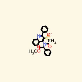 COC(=O)C(c1ccccc1)N(C=O)c1c([S+](C)[O-])c(-c2ccccc2)nc2ccccc12